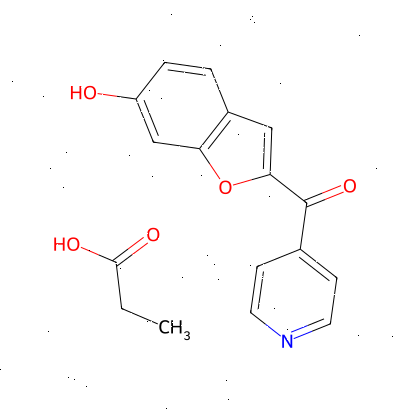 CCC(=O)O.O=C(c1ccncc1)c1cc2ccc(O)cc2o1